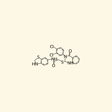 O=C(CSC1Nc2ccccc2C(=O)N1c1ccc(Cl)c(Cl)c1)Nc1ccc2c(c1)SCN2